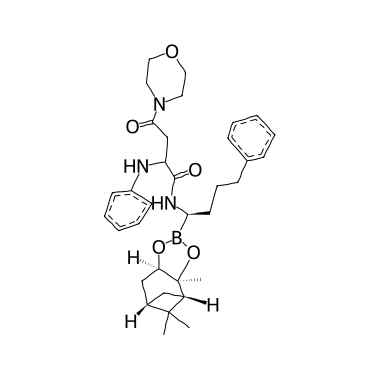 CC1(C)[C@@H]2C[C@H]3OB([C@H](CCCc4ccccc4)NC(=O)C(CC(=O)N4CCOCC4)Nc4ccccc4)O[C@@]3(C)[C@H]1C2